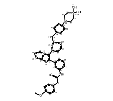 COc1ccc(CC(=O)Nc2cccc(-c3nc4sccn4c3-c3ccnc(Nc4ccc(N5CCS(O)(O)CC5)cc4)n3)c2)cc1